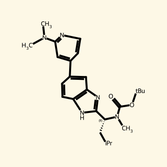 CC(C)C[C@H](c1nc2cc(-c3ccnc(N(C)C)c3)ccc2[nH]1)N(C)C(=O)OC(C)(C)C